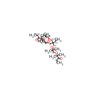 C=CC(=O)C(C)(C)OCC(C)(C)OCC(CC)(COCC)COCC(C)OC(C)(C)C(=O)C=C